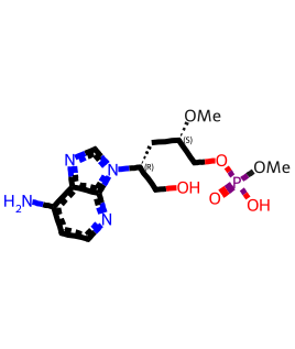 CO[C@H](COP(=O)(O)OC)C[C@H](CO)n1cnc2c(N)ccnc21